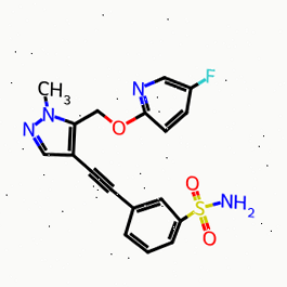 Cn1ncc(C#Cc2cccc(S(N)(=O)=O)c2)c1COc1ccc(F)cn1